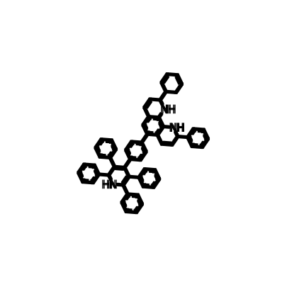 C1=CCC(C2C=Cc3cc(-c4ccc(C5=C(c6ccccc6)C(c6ccccc6)NC(c6ccccc6)=C5c5ccccc5)cc4)c4c(c3N2)NC(c2ccccc2)C=C4)C=C1